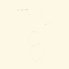 CCC(C)OC(COC(C)C)CN1CCN(C)CC1